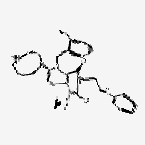 Cn1c(=O)n(CCOc2ccccc2)c(=O)c2c1nc(N1CCCNCC1)n2Cc1ccccc1I